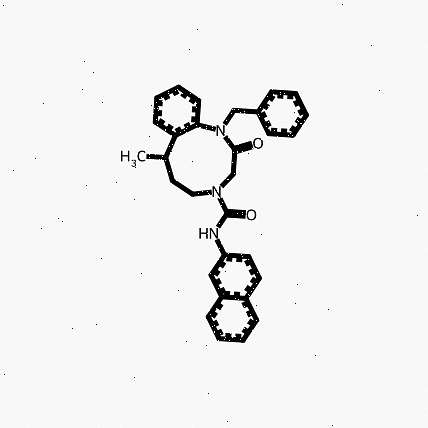 CC1CCN(C(=O)Nc2ccc3ccccc3c2)CC(=O)N(Cc2ccccc2)c2ccccc21